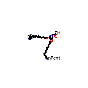 CCCCC/C=C\C/C=C\CCCCCCCCO[C@@H]1CN(CC(C)O)C[C@H]1OCCCCCCCC/C=C\C/C=C\CCCCC